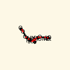 CCC1(COCCCCCCOc2ccc(C(=O)Oc3c(C=N)cc(OC(F)(F)c4ccc(-c5ccc(OCCCCCOCC6CCC7OC7C6)cc5)c(F)c4F)c4ccccc34)cc2OC)COC1